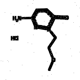 COCCn1nc(N)ccc1=O.Cl